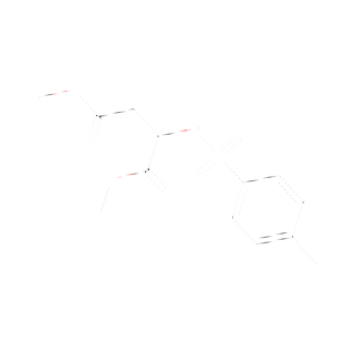 COC(=O)CC(OS(=O)(=O)c1ccc(C)cc1)C(=O)OC